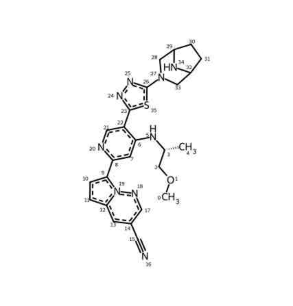 COC[C@@H](C)Nc1cc(-c2ccc3cc(C#N)cnn23)ncc1-c1nnc(N2CC3CCC(C2)N3)s1